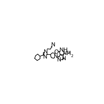 N#CCCn1cc(C2CCCCC2)nc1C1CCN(c2ncnc(N)c2C(N)=O)CC1